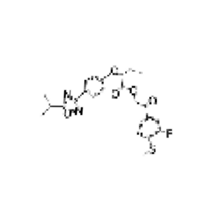 CCC(Oc1ccc(-c2noc(C(C)C)n2)cc1)C(=O)OCC(=O)c1ccc(SC)c(F)c1